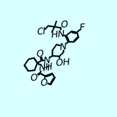 CC(C)(CCl)C(=O)Nc1cc(F)ccc1N1CCC(NC(=O)C2(NC(=O)c3ccco3)CCCCC2)C(O)C1